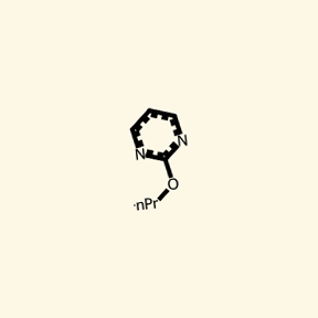 CC[CH]Oc1ncccn1